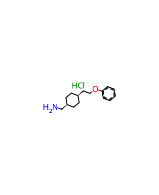 Cl.NC[C@H]1CC[C@@H](CCOc2ccccc2)CC1